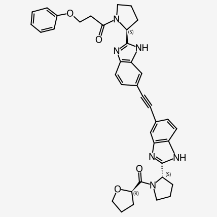 O=C(CCOc1ccccc1)N1CCC[C@H]1c1nc2ccc(C#Cc3ccc4[nH]c([C@@H]5CCCN5C(=O)[C@H]5CCCO5)nc4c3)cc2[nH]1